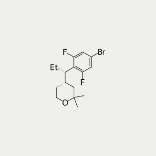 [CH2]C[C@H](c1c(F)cc(Br)cc1F)[C@H]1CCOC(C)(C)C1